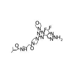 CC(C)=CC(=O)NCCCC(=O)N1CCN(c2nc(-c3cnc(N)nc3C(F)F)nc(N3CCOCC3)n2)CC1